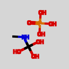 CNC(O)(O)O.O=P(O)(O)O